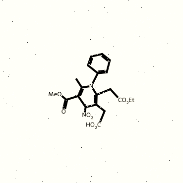 CCOC(=O)CC1=C(CC(=O)O)C([N+](=O)[O-])C(C(=O)OC)=C(C)N1c1ccccc1